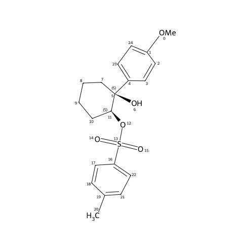 COc1ccc([C@@]2(O)CCCC[C@@H]2OS(=O)(=O)c2ccc(C)cc2)cc1